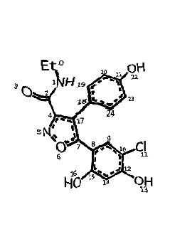 CCNC(=O)c1noc(-c2cc(Cl)c(O)cc2O)c1-c1ccc(O)cc1